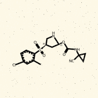 Cc1cc(Cl)ccc1S(=O)(=O)[C@H]1CN[C@@H](OC(=O)NC2(C#N)CC2)C1